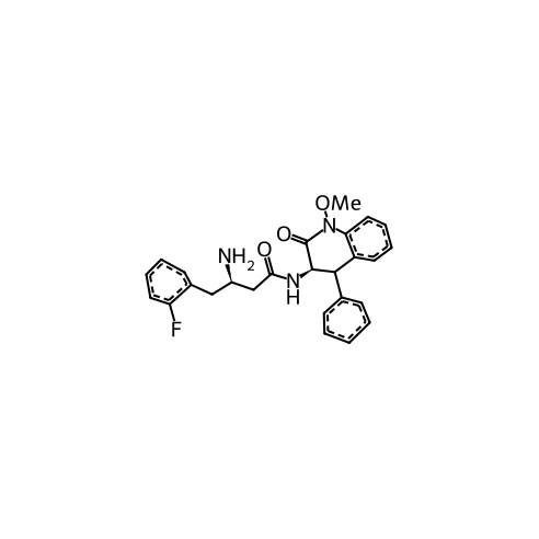 CON1C(=O)[C@H](NC(=O)C[C@H](N)Cc2ccccc2F)C(c2ccccc2)c2ccccc21